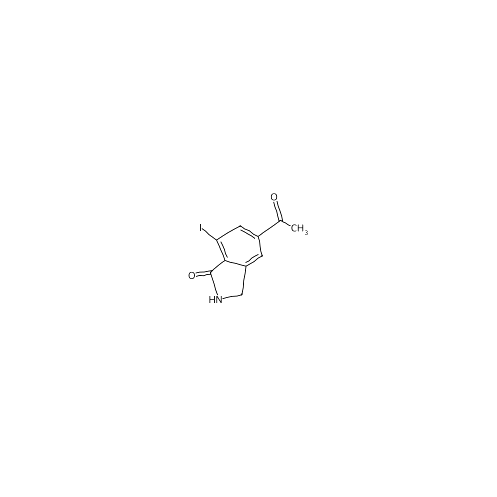 CC(=O)c1cc(I)c2c(c1)CNC2=O